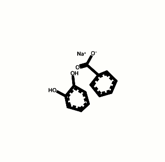 O=C([O-])c1ccccc1.Oc1ccccc1O.[Na+]